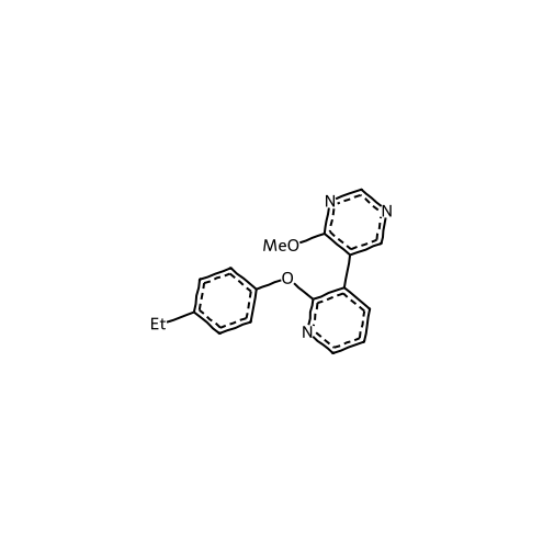 CCc1ccc(Oc2ncccc2-c2cncnc2OC)cc1